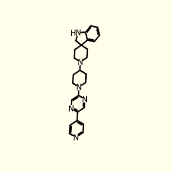 c1ccc2c(c1)NCC21CCN(C2CCN(c3cnc(-c4ccncc4)cn3)CC2)CC1